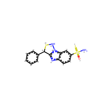 NS(=O)(=S)c1ccc2nc3n(c2c1)NSC3c1ccccc1